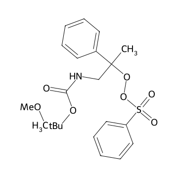 CC(C)(C)OC(=O)NCC(C)(OOS(=O)(=O)c1ccccc1)c1ccccc1.COC